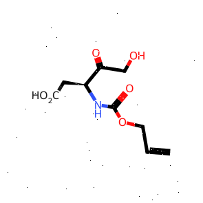 C=CCOC(=O)N[C@@H](CC(=O)O)C(=O)CO